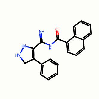 N=C(NC(=O)c1cccc2ccccc12)C1=C(c2ccccc2)CNN1